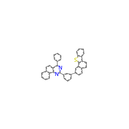 c1ccc(-c2nc(-c3cccc(-c4ccc5ccc6c7ccccc7sc6c5c4)c3)nc3c2ccc2ccccc23)cc1